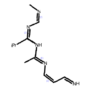 C/N=C\N=C(/N/C(C)=N/C=C\C=N)C(C)C